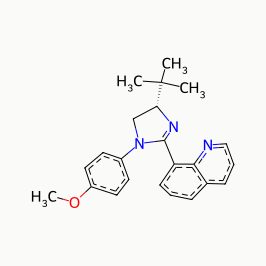 COc1ccc(N2C[C@H](C(C)(C)C)N=C2c2cccc3cccnc23)cc1